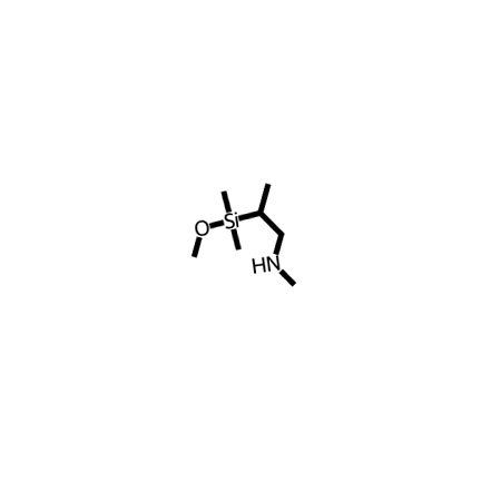 CNCC(C)[Si](C)(C)OC